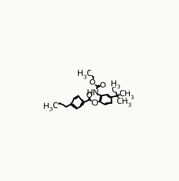 CCCc1ccc(C(=O)Oc2ccc(C(C)(C)C)cc2NC(=O)OCC)cc1